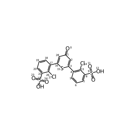 O=c1cc(-c2cccc(S(=O)(=O)O)c2Cl)sc(-c2cccc(S(=O)(=O)O)c2Cl)c1